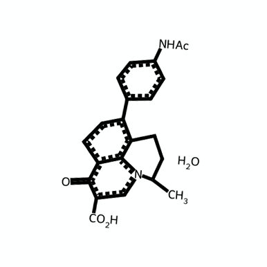 CC(=O)Nc1ccc(-c2ccc3c(=O)c(C(=O)O)cn4c3c2CCC4C)cc1.O